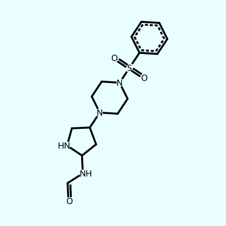 O=CNC1CC(N2CCN(S(=O)(=O)c3ccccc3)CC2)CN1